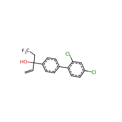 C=CC(O)(CC(F)(F)F)c1ccc(-c2ccc(Cl)cc2Cl)cc1